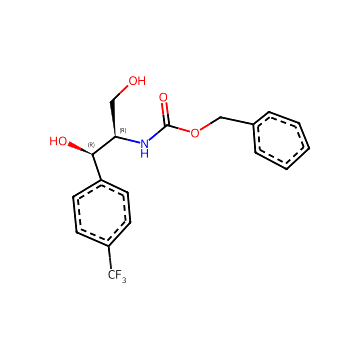 O=C(N[C@H](CO)[C@H](O)c1ccc(C(F)(F)F)cc1)OCc1ccccc1